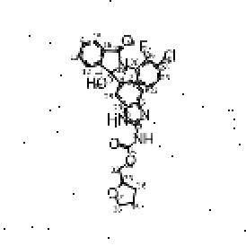 O=C(Nc1nc2ccc(C3(O)c4ccccc4C(=O)N3c3cccc(Cl)c3F)cc2[nH]1)OCC1CCCO1